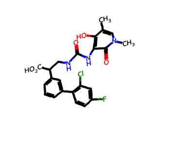 Cc1cn(C)c(=O)c(NC(=O)NCC(C(=O)O)c2cccc(-c3ccc(F)cc3Cl)c2)c1O